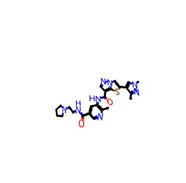 Cc1ncc(C(=O)NCCN2CCCC2)cc1NC(=O)c1cnn2cc(-c3cn(C)nc3C)sc12